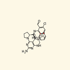 CN1CNc2nc(N)nc(N3CCC[C@H]3/C(=N/c3cccc(Cl)c3C=O)Nc3cccnc3)c2C1=O